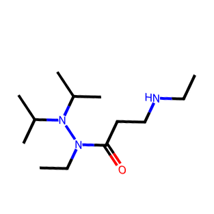 CCNCCC(=O)N(CC)N(C(C)C)C(C)C